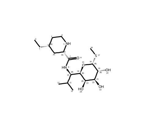 CC[C@@H]1CCN[C@H](C(=O)N[C@H](C(C)C)[C@H]2O[C@H](SC)[C@H](O)[C@@H](O)[C@H]2O)C1